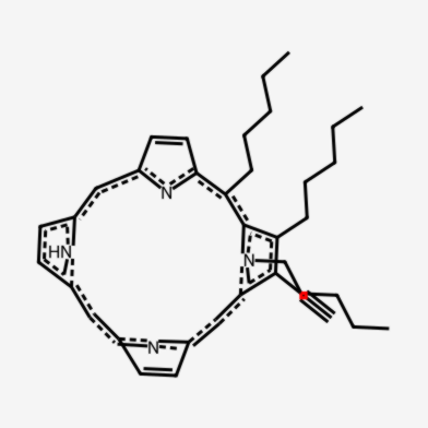 C#Cc1c(CCCCC)c2c(CCCCC)c3nc(cc4ccc(cc5nc(cc1n2CCCCC)C=C5)[nH]4)C=C3